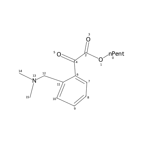 CCCCCOC(=O)C(=O)c1ccccc1CN(C)C